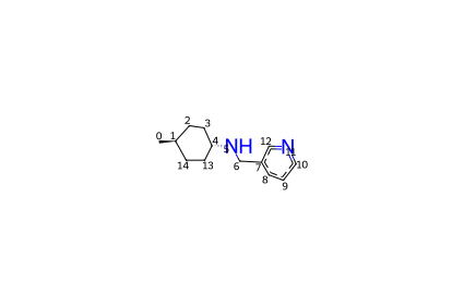 C[C@H]1CC[C@H](NCc2cccnc2)CC1